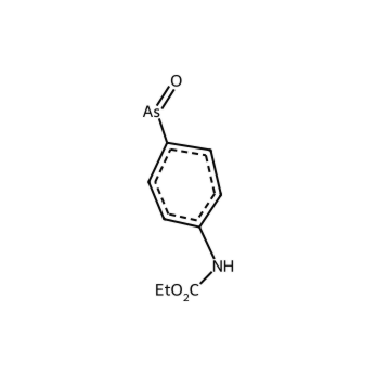 CCOC(=O)Nc1ccc([As]=O)cc1